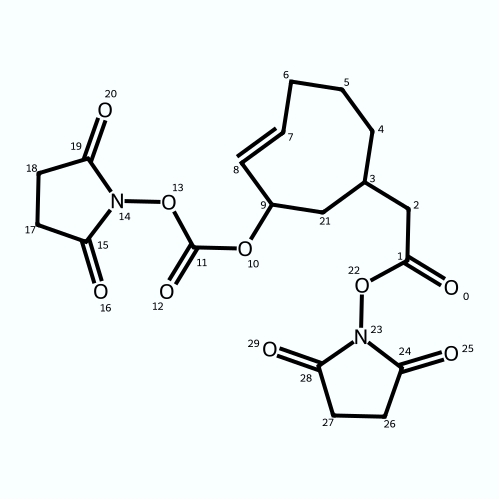 O=C(CC1CCC/C=C/C(OC(=O)ON2C(=O)CCC2=O)C1)ON1C(=O)CCC1=O